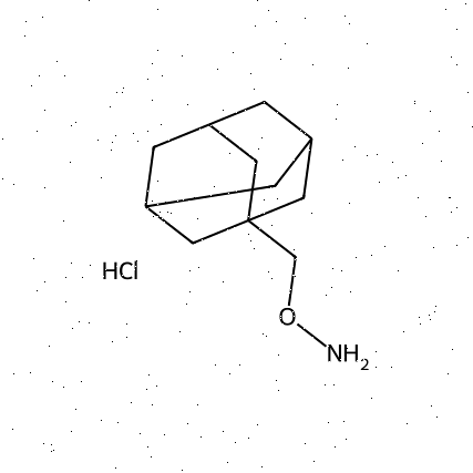 Cl.NOCC12CC3CC(CC(C3)C1)C2